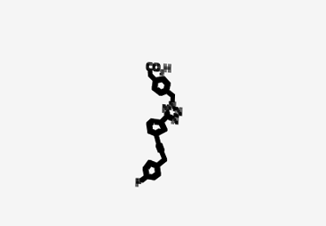 O=C(O)Cc1ccc(Cn2nnc(-c3cccc(C#CCc4ccc(F)cc4)c3)n2)cc1